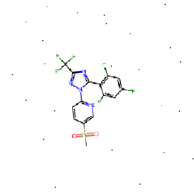 CS(=O)(=O)c1ccc(-n2nc(C(F)(F)F)nc2-c2c(F)cc(F)cc2F)nc1